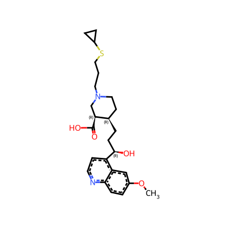 COc1ccc2nccc([C@H](O)CC[C@@H]3CCN(CCCSC4CC4)C[C@@H]3C(=O)O)c2c1